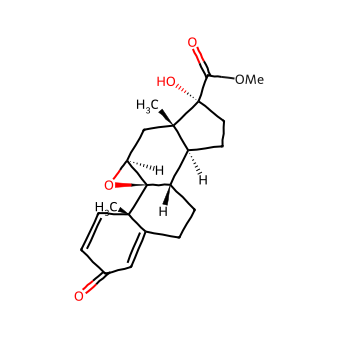 COC(=O)[C@@]1(O)CC[C@H]2[C@@H]3CCC4=CC(=O)C=C[C@]4(C)[C@@]34O[C@H]4C[C@@]21C